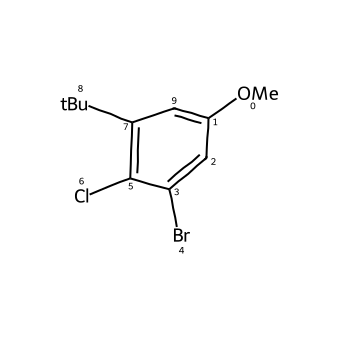 COc1cc(Br)c(Cl)c(C(C)(C)C)c1